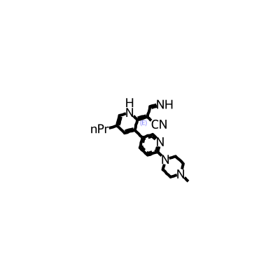 CCCC1=CN/C(=C(/C#N)C=N)C(c2ccc(N3CCN(C)CC3)nc2)=C1